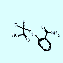 NC(=O)c1ccccc1Cl.O=C(O)C(F)(F)F